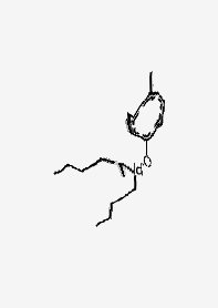 CCC[CH2][Nd]([CH2]CCC)[O]c1ccc(C)cc1